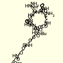 CCCCCCCCCCCCCC(=O)NCCOCCOCC(=O)NCCOCCOCC(=O)N[C@@H](CCCC)C(=O)N[C@H]1CCCC(=O)NCCCC[C@@H](C(N)=O)NC(=O)[C@H](Cc2c[nH]c3ccccc23)NC(=O)[C@H](CCCNC(=N)N)NC(=O)[C@@H](Cc2ccccc2)NC(=O)[C@H](CO)NC1=O